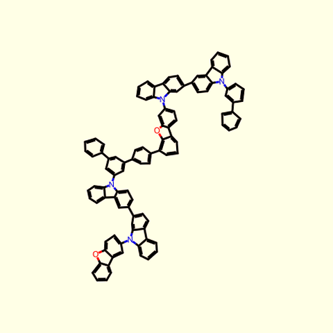 c1ccc(-c2cccc(-n3c4ccccc4c4cc(-c5ccc6c7ccccc7n(-c7ccc8c(c7)oc7c(-c9ccc(-c%10cc(-c%11ccccc%11)cc(-n%11c%12ccccc%12c%12cc(-c%13ccc%14c%15ccccc%15n(-c%15ccc%16oc%17ccccc%17c%16c%15)c%14c%13)ccc%12%11)c%10)cc9)cccc78)c6c5)ccc43)c2)cc1